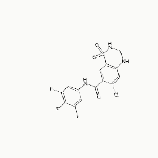 O=C(Nc1cc(F)c(F)c(F)c1)c1cc2c(cc1Cl)NCNS2(=O)=O